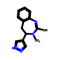 CCCC1=Nc2ccccc2CC(c2cn[nH]c2)N1C